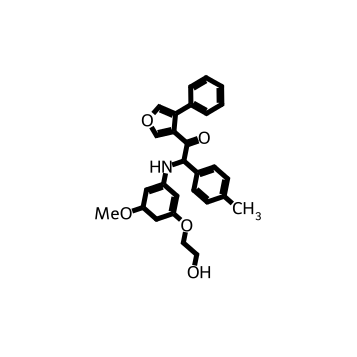 COC1C=C(NC(C(=O)c2cocc2-c2ccccc2)c2ccc(C)cc2)C=C(OCCO)C1